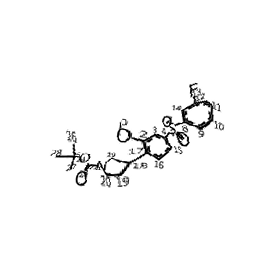 COc1cc(S(=O)(=O)c2cccc(F)c2)ccc1C1CCN(C(=O)OC(C)(C)C)C1